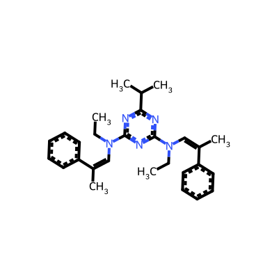 CCN(/C=C(/C)c1ccccc1)c1nc(C(C)C)nc(N(/C=C(/C)c2ccccc2)CC)n1